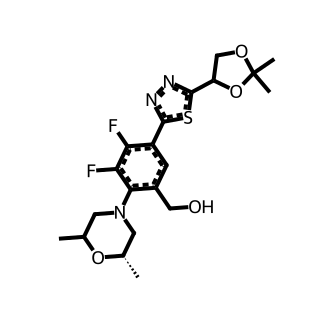 CC1CN(c2c(CO)cc(-c3nnc(C4COC(C)(C)O4)s3)c(F)c2F)C[C@H](C)O1